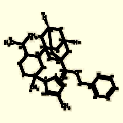 Cc1ccn(C2(C)CCC(C(C)C)C(C34C[C@@H]5C[C@@H](CC(C(=O)OCc6ccccc6)(C5)C3)C4)C2)n1